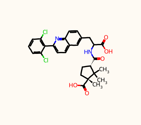 CC1(C)[C@@H](C(=O)NC(Cc2ccc3nc(-c4c(Cl)cccc4Cl)ccc3c2)C(=O)O)CC[C@@]1(C)C(=O)O